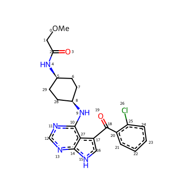 COCC(=O)N[C@H]1CC[C@@H](Nc2ncnc3[nH]cc(C(=O)c4ccccc4Cl)c23)CC1